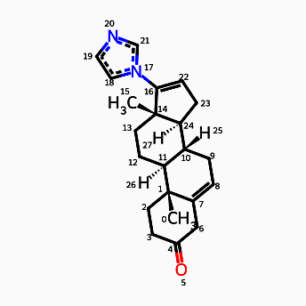 C[C@]12CCC(=O)CC1=CC[C@@H]1[C@@H]2CC[C@]2(C)C(n3ccnc3)=CC[C@@H]12